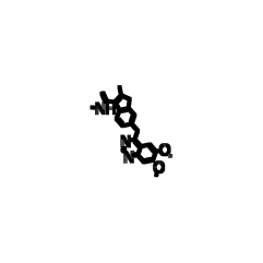 C=C(NC)C1=C(C)Cc2cc(Cc3ncnc4cc(OC)c(OC)cc34)ccc21